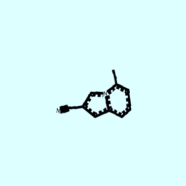 Cc1cccc2cc(C#N)cn12